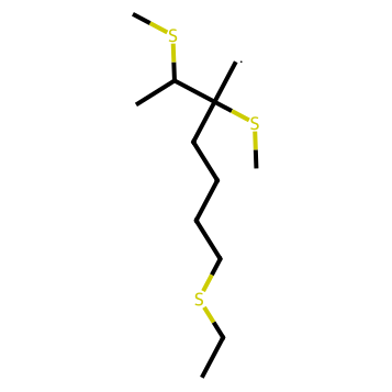 [CH2]C(CCCCSCC)(SC)C(C)SC